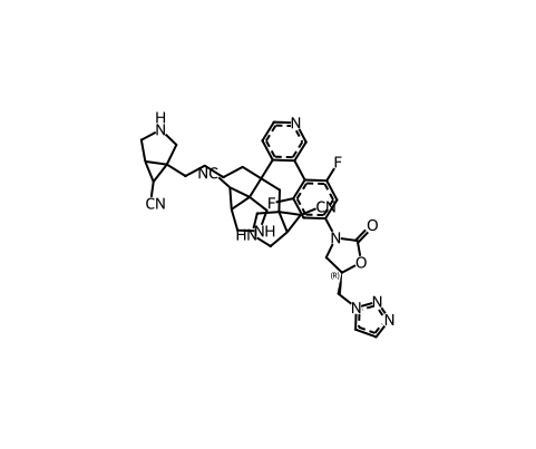 N#CC1C2CNCC12CCCCC(CC12CNCC1C2C#N)(c1ccncc1-c1c(F)cc(N2C[C@H](Cn3ccnn3)OC2=O)cc1F)C12CNCC1C2C#N